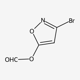 O=COc1cc(Br)no1